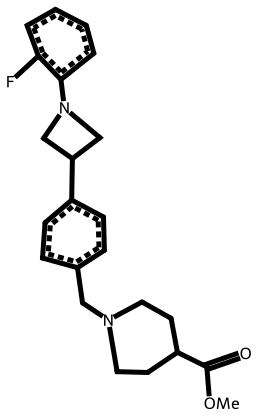 COC(=O)C1CCN(Cc2ccc(C3CN(c4ccccc4F)C3)cc2)CC1